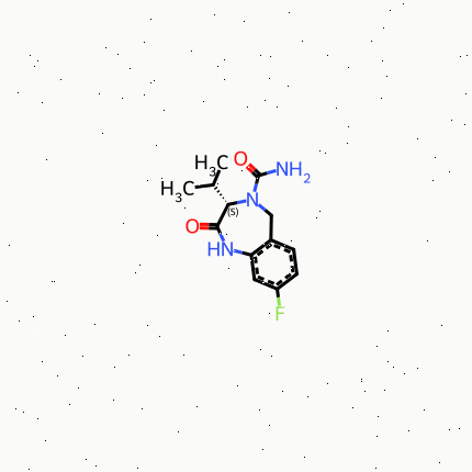 CC(C)[C@H]1C(=O)Nc2cc(F)ccc2CN1C(N)=O